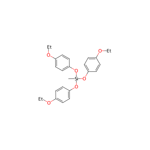 CCOc1ccc(O[Si](C)(Oc2ccc(OCC)cc2)Oc2ccc(OCC)cc2)cc1